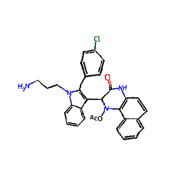 CC(=O)ON1c2c(ccc3ccccc23)NC(=O)C1c1c(-c2ccc(Cl)cc2)n(CCCN)c2ccccc12